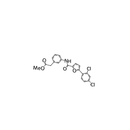 COC(=O)Cc1cccc(NC(=O)c2ccc(-c3ccc(Cl)cc3Cl)o2)c1